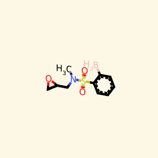 Bc1ccccc1S(=O)(=O)N(C)CC1CO1